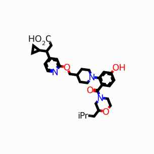 CC(C)CC1CN(C(=O)c2ccc(O)cc2N2CCC(COc3cc(C(CC(=O)O)C4CC4)ccn3)CC2)CCO1